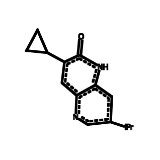 CC(C)c1cnc2cc(C3CC3)c(=O)[nH]c2c1